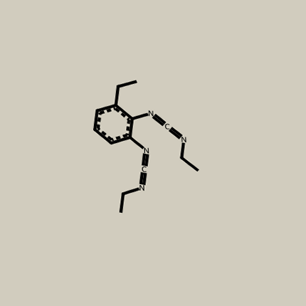 CCN=C=Nc1cccc(CC)c1N=C=NCC